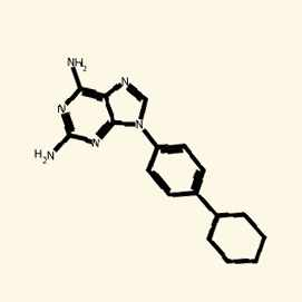 Nc1nc(N)c2ncn(-c3ccc(C4CCCCC4)cc3)c2n1